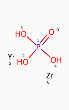 O=P(O)(O)O.[Y].[Zr]